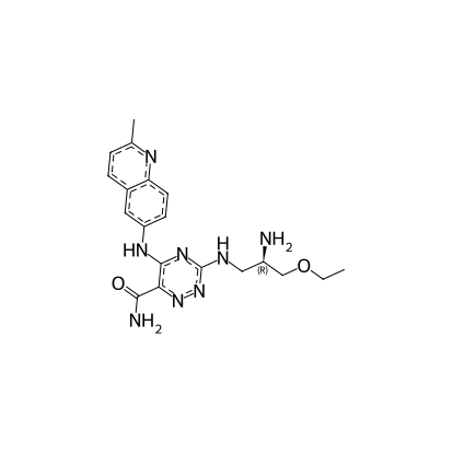 CCOC[C@H](N)CNc1nnc(C(N)=O)c(Nc2ccc3nc(C)ccc3c2)n1